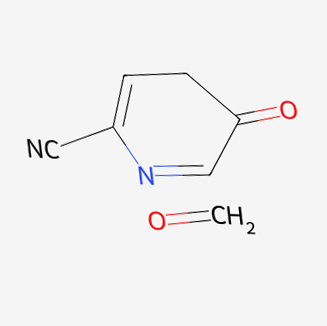 C=O.N#CC1=CCC(=O)C=N1